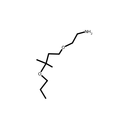 CCCOC(C)(C)CCOCCN